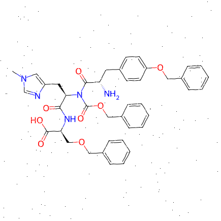 Cn1cnc(C[C@H](C(=O)N[C@@H](COCc2ccccc2)C(=O)O)N(C(=O)OCc2ccccc2)C(=O)[C@@H](N)Cc2ccc(OCc3ccccc3)cc2)c1